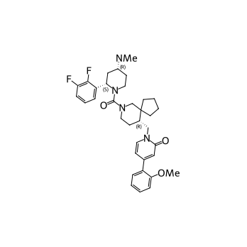 CN[C@@H]1CCN(C(=O)N2CC[C@@H](Cn3ccc(-c4ccccc4OC)cc3=O)C3(CCCC3)C2)[C@H](c2cccc(F)c2F)C1